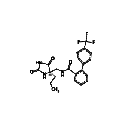 CCC[C@]1(CNC(=O)c2ccccc2-c2ccc(C(F)(F)F)cc2)NC(=O)NC1=O